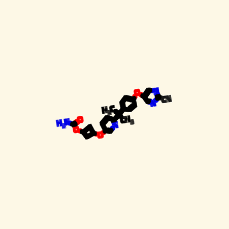 CC(C)(c1ccc(Oc2cnc(C#N)nc2)cc1)c1ccc(OC2CC(OC(N)=O)C2)cn1